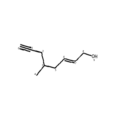 C#CCC(C)C/C=C/CO